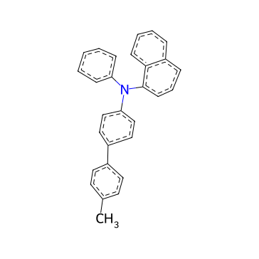 Cc1ccc(-c2ccc(N(c3ccccc3)c3cccc4ccccc34)cc2)cc1